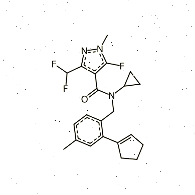 Cc1ccc(CN(C(=O)c2c(C(F)F)nn(C)c2F)C2CC2)c(C2=CCCC2)c1